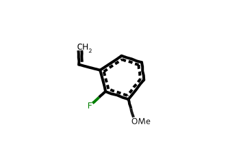 C=Cc1cccc(OC)c1F